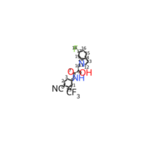 N#Cc1ccc(NC(=O)[C@@H](O)Cn2ccc3ccc(F)cc32)cc1C(F)(F)F